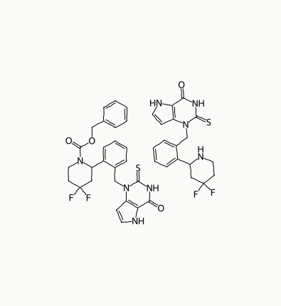 O=C(OCc1ccccc1)N1CCC(F)(F)CC1c1ccccc1Cn1c(=S)[nH]c(=O)c2[nH]ccc21.O=c1[nH]c(=S)n(Cc2ccccc2C2CC(F)(F)CCN2)c2cc[nH]c12